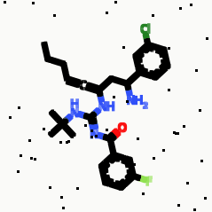 CCCC=C=C(CC(N)c1cccc(Cl)c1)N/C(=N\C(=O)c1cccc(F)c1)NC(C)(C)C